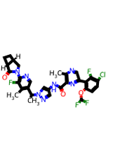 Cc1ncc(-c2c(OC(F)F)ccc(Cl)c2F)nc1C(=O)Nc1cnn(C(C)c2cnc(N3C[C@H]4CC[C@H]4C3=O)c(F)c2C)c1